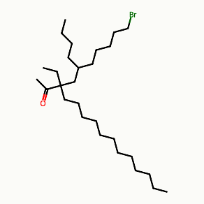 CCCCCCCCCCCCC(CC)(CC(CCCC)CCCCCBr)C(C)=O